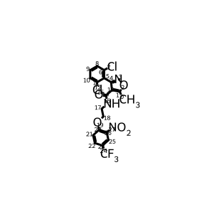 Cc1onc(-c2c(Cl)cccc2Cl)c1C(=O)NCCOc1ccc(C(F)(F)F)cc1[N+](=O)[O-]